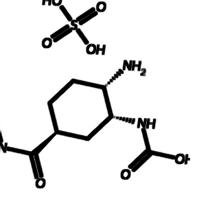 CN(C)C(=O)[C@H]1CC[C@H](N)[C@H](NC(=O)O)C1.O=S(=O)(O)O